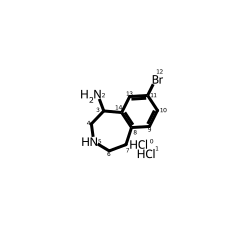 Cl.Cl.NC1CNCCc2ccc(Br)cc21